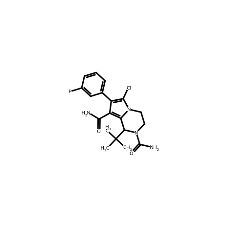 CC(C)(C)C1c2c(C(N)=O)c(-c3cccc(F)c3)c(Cl)n2CCN1C(N)=O